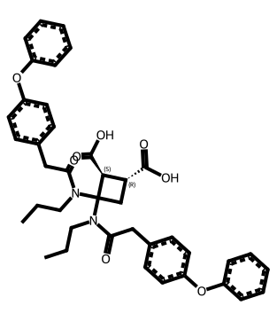 CCCN(C(=O)Cc1ccc(Oc2ccccc2)cc1)C1(N(CCC)C(=O)Cc2ccc(Oc3ccccc3)cc2)C[C@@H](C(=O)O)[C@@H]1C(=O)O